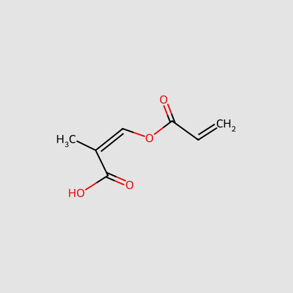 C=CC(=O)OC=C(C)C(=O)O